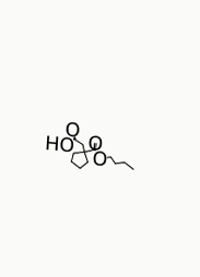 CCCCOC(=O)C1(CC(=O)O)CCCC1